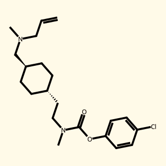 C=CCN(C)C[C@H]1CC[C@H](CCN(C)C(=O)Oc2ccc(Cl)cc2)CC1